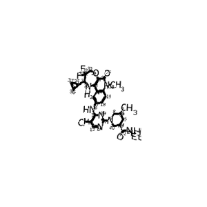 CCNC(=O)[C@@H]1C[C@H](C)CN(c2ncc(Cl)c(Nc3ccc4c(c3)c3c(c(=O)n4C)OCC(F)(F)C(C4CC4)N3)n2)C1